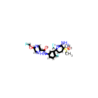 C[S+]([O-])[C@]1(C)CC[C@@](CF)(c2cc(NC(=O)c3cnc(OCF)cn3)ccc2F)N=C1N